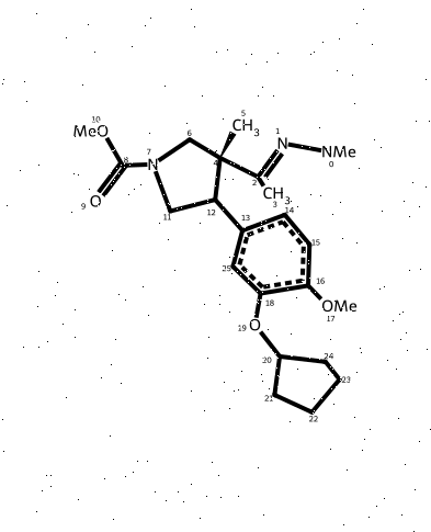 CN/N=C(\C)[C@@]1(C)CN(C(=O)OC)CC1c1ccc(OC)c(OC2CCCC2)c1